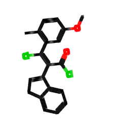 COc1ccc(C)c(/C(Cl)=C(\C(=O)Cl)C2=CCc3ccccc32)c1